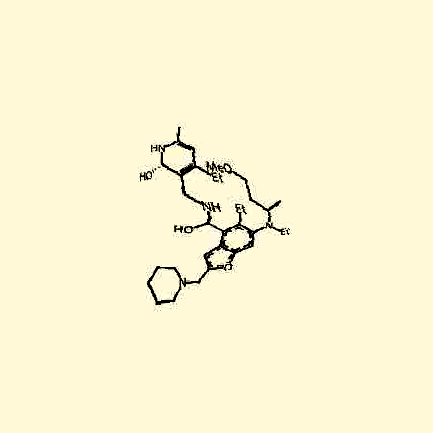 CCC1=C(CNC(O)c2c(CC)c(N(CC)C(C)CCOC)cc3oc(CN4CCCCC4)cc23)[C@H](O)NC(C)=C1